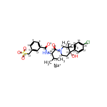 CC(C)[C@@H](NC(=O)c1cccc(CS(=O)(=O)[O-])c1)C(=O)N1CC[C@](O)(c2ccc(Cl)cc2)C(C)(C)C1.[Na+]